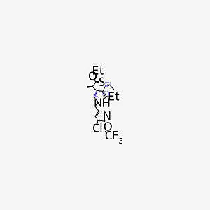 C=C(C(=S)OCC)C(=C/NCc1cnc(OCC(F)(F)F)c(Cl)c1)/C(/C=C\C)=C(\C)CC